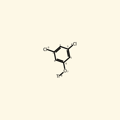 Clc1cc(Cl)cc([O][Ti])c1